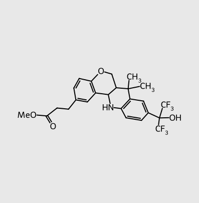 COC(=O)CCc1ccc2c(c1)C1Nc3ccc(C(O)(C(F)(F)F)C(F)(F)F)cc3C(C)(C)C1CO2